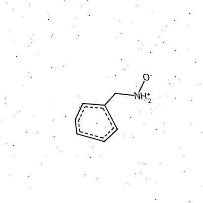 [O-][NH2+]Cc1ccccc1